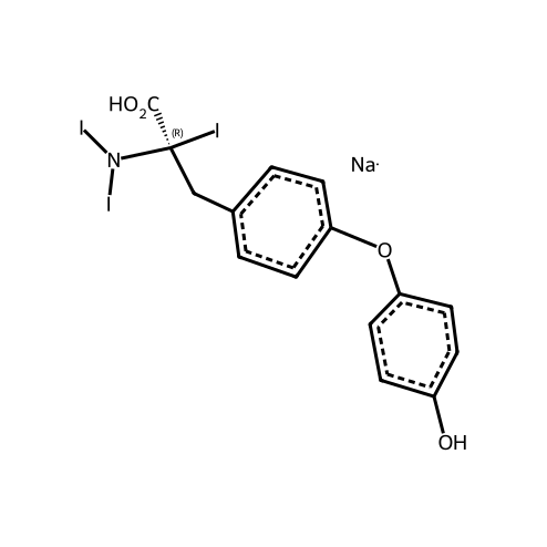 O=C(O)[C@](I)(Cc1ccc(Oc2ccc(O)cc2)cc1)N(I)I.[Na]